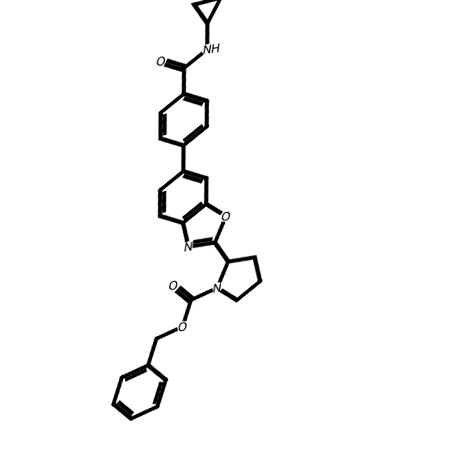 O=C(NC1CC1)c1ccc(-c2ccc3nc(C4CCCN4C(=O)OCc4ccccc4)oc3c2)cc1